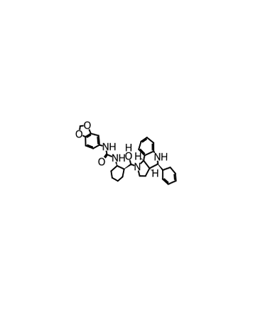 O=C(Nc1ccc2c(c1)OCO2)N[C@@H]1CCCC[C@@H]1C(O)N1CC[C@@H]2[C@H](C3C=CC=CC3)Nc3ccccc3[C@@H]21